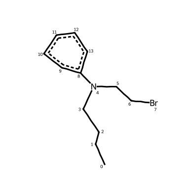 CCCCN(CCBr)c1ccccc1